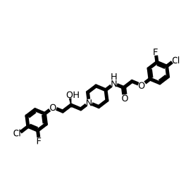 O=C(COc1ccc(Cl)c(F)c1)NC1CCN(C[C@H](O)COc2ccc(Cl)c(F)c2)CC1